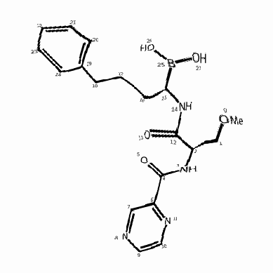 COC[C@@H](NC(=O)c1cnccn1)C(=O)N[C@@H](CCCc1ccccc1)B(O)O